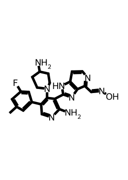 Cc1cc(F)cc(-c2cnc(N)c(-c3nc4c(C=NO)nccc4[nH]3)c2N2CCC(N)CC2)c1